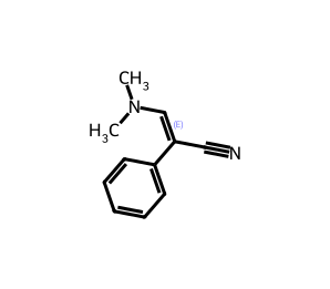 CN(C)/C=C(/C#N)c1ccccc1